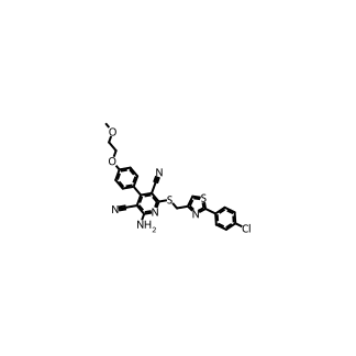 COCCOc1ccc(-c2c(C#N)c(N)nc(SCc3csc(-c4ccc(Cl)cc4)n3)c2C#N)cc1